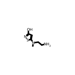 CN(CCN)c1cc(O)ns1